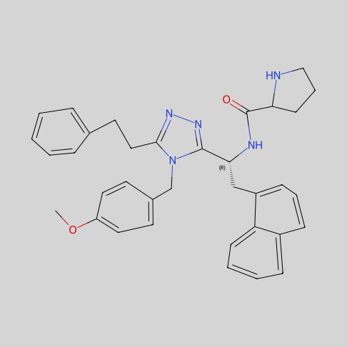 COc1ccc(Cn2c(CCc3ccccc3)nnc2[C@@H](Cc2cccc3ccccc23)NC(=O)C2CCCN2)cc1